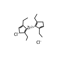 CCC1=CCC(CC)=[C]1[Zr+2][C]1=C(CC)CC=C1CC.[Cl-].[Cl-]